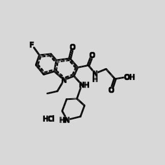 CCn1c(NC2CCNCC2)c(C(=O)NCC(=O)O)c(=O)c2cc(F)ccc21.Cl